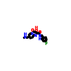 CNCC1CCc2nc(C(=O)NCc3ccc(F)cc3)c(O)c(=O)n2CC1